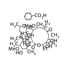 CC[C@H]1OC(=O)[C@H](C)[C@@H](O[C@H]2C[C@@](C)(OC)[C@@H](O)[C@H](C)O2)[C@H](C)[C@@H](O[C@@H]2O[C@H](C)C[C@H](N(C)C)[C@H]2O)[C@](C)(OC)C[C@@H](C)C(=O)[C@H](C)[C@@H](O)[C@]1(C)O.O=C(O)c1ccccc1